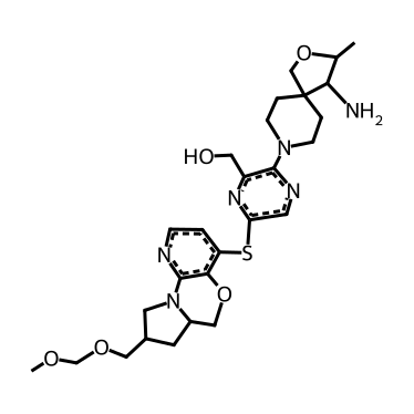 COCOCC1CC2COc3c(Sc4cnc(N5CCC6(CC5)COC(C)C6N)c(CO)n4)ccnc3N2C1